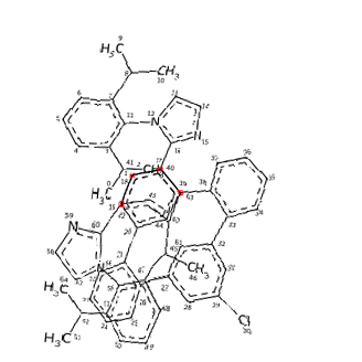 CC(C)c1cccc(C(C)C)c1-n1ccnc1-c1ccc(-c2ccccc2-c2cc(Cl)cc(-c3ccccc3-c3ccc4cc3C(C)c3cccc(C(C)C)c3-n3ccnc3-4)c2)cc1